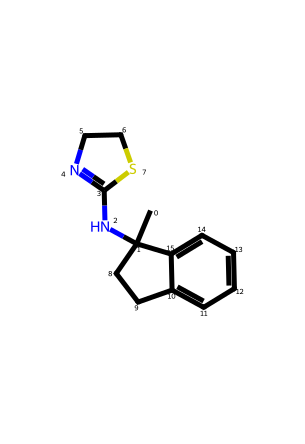 CC1(NC2=NCCS2)CCc2ccccc21